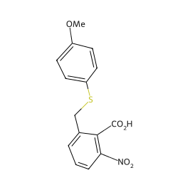 COc1ccc(SCc2cccc([N+](=O)[O-])c2C(=O)O)cc1